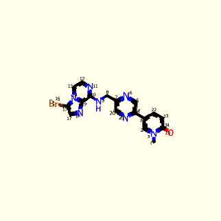 Cn1cc(-c2cnc(CNc3nccn4c(Br)cnc34)cn2)ccc1=O